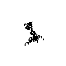 CC(=O)c1cccc(C[C@@H](CCN2CCC(c3cc(NC(=O)C(C)C)ccc3C)CC2)c2ccccc2)c1